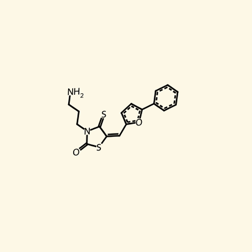 NCCCN1C(=O)S/C(=C/c2ccc(-c3ccccc3)o2)C1=S